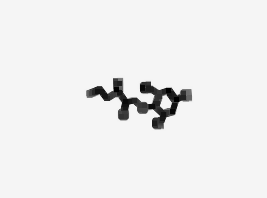 C=CCNC(=O)COc1c(Cl)cc(Cl)cc1Cl